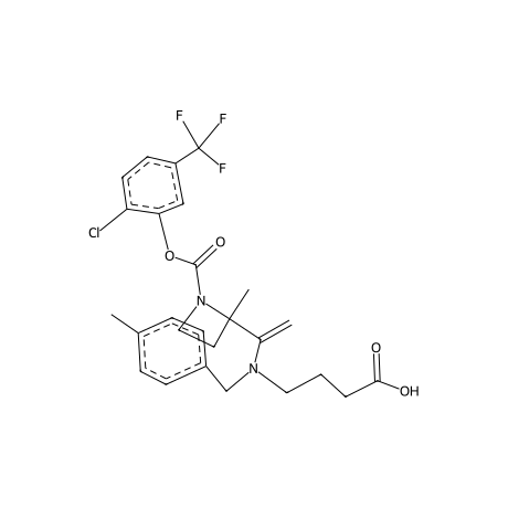 C=C(N(CCCC(=O)O)Cc1ccc(C)cc1)C1(C)CCN1C(=O)Oc1cc(C(F)(F)F)ccc1Cl